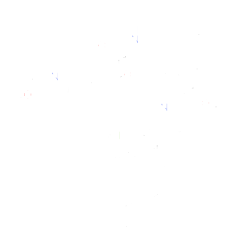 CC(=O)N1CCC(OC(=O)Nc2cc(C(=O)N3CCC(F)(c4ccc(C)cc4)CC3)c(C)cc2C)C1